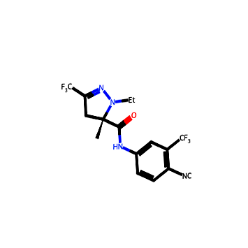 [C-]#[N+]c1ccc(NC(=O)[C@]2(C)CC(C(F)(F)F)=NN2CC)cc1C(F)(F)F